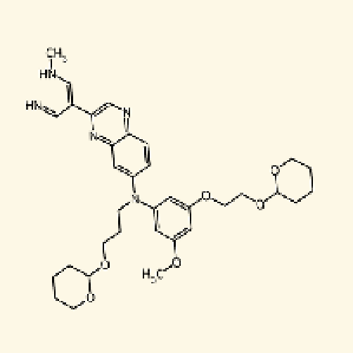 CN/C=C(\C=N)c1cnc2ccc(N(CCCOC3CCCCO3)c3cc(OC)cc(OCCOC4CCCCO4)c3)cc2n1